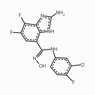 Nc1nc2c(F)c(F)cc(/C(=N/O)Nc3ccc(F)c(Cl)c3)c2[nH]1